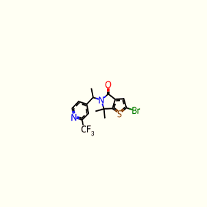 CC(c1ccnc(C(F)(F)F)c1)N1C(=O)c2cc(Br)sc2C1(C)C